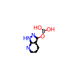 OB(O)Oc1n[nH]c2ncccc12